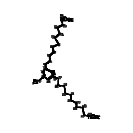 [CH2]Cc1cc(CCCCCCCCCCCCCCCCCCCC)nc(CCCCCCCCCCCCCCCCCCCC)c1